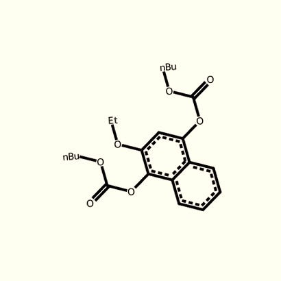 CCCCOC(=O)Oc1cc(OCC)c(OC(=O)OCCCC)c2ccccc12